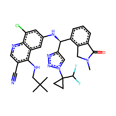 CN1Cc2c(cccc2[C@H](Nc2cc(Cl)c3ncc(C#N)c(NCC(C)(C)C)c3c2)c2cn(C3(C(F)F)CC3)nn2)C1=O